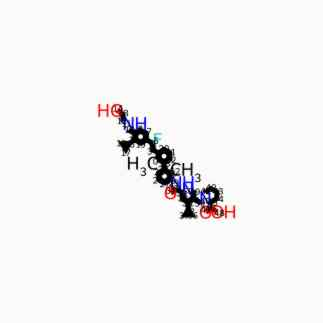 Cc1c(/C=C(\F)c2ccc(CNCCO)c(C3CC3)c2)cccc1-c1cccc(NC(=O)c2cc(C3CC3)c(CN3CCCC[C@H]3C(=O)O)cn2)c1C